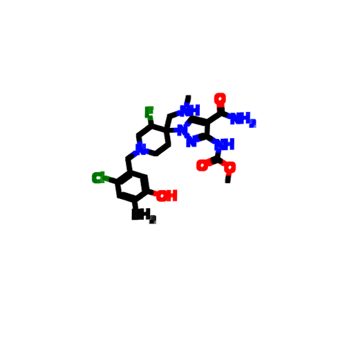 Bc1cc(Cl)c(CN2CCC(CNC)(n3cc(C(N)=O)c(NC(=O)OC)n3)C(F)C2)cc1O